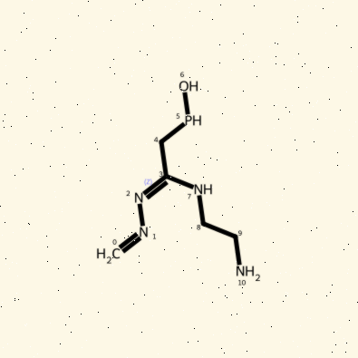 C=N/N=C(/CPO)NCCN